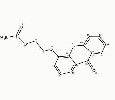 BC(=O)OCCOc1cccc2c(=O)c3ccccc3sc12